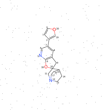 c1cc(-c2cnc3c(c2)CC2(CN4CCC2CC4)O3)co1